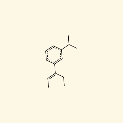 C/C=C(\CC)c1cccc(C(C)C)c1